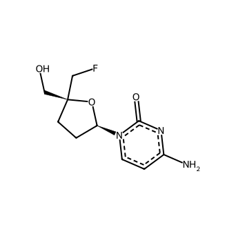 Nc1ccn([C@H]2CC[C@](CO)(CF)O2)c(=O)n1